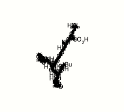 Cc1n[nH]c(C)c1CCCOc1cc(OCCC/C(=C/NCCOCCOCCOCCC(=O)NC(CCCNC(=N)NS(=O)(=O)c2c(C)c(C)c3c(c2C)CC(C)(C)O3)C(=O)NCC(=O)NC(CCCCNC(=O)OC(C)(C)C)C(=O)Nc2ccc3c(C)cc(=O)oc3c2)N=N)cc(C(=O)O)c1